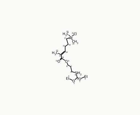 CCOC(OCC)[SiH2]CCCOC(=O)C(C)=CCCC[Si](C)(C)Cl